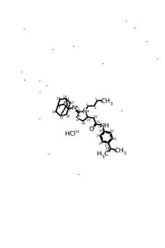 CCCCN1/C(=N/C23CC4CC(CC(C4)C2)C3)SCC1CC(=O)Nc1ccc(C(C)C)cc1.Cl